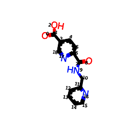 O=C(O)c1ccc(C(=O)NCc2ccccn2)nc1